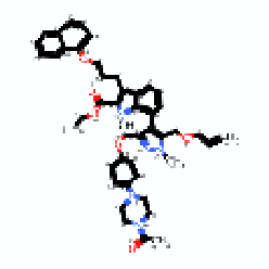 C=CCOCc1c(-c2cccc3c(CCCOc4cccc5ccccc45)c(C(=O)OCC)n(C)c23)c(COc2ccc(N3CCN(C(C)=O)CC3)cc2)nn1C